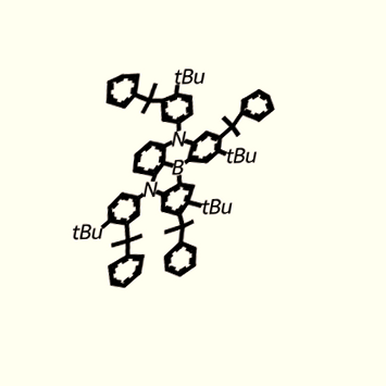 CC(C)(C)c1ccc(N2c3cc(C(C)(C)c4ccccc4)c(C(C)(C)C)cc3B3c4cc(C(C)(C)C)c(C(C)(C)c5ccccc5)cc4N(c4ccc(C(C)(C)C)c(C(C)(C)c5ccccc5)c4)c4cccc2c43)cc1C(C)(C)c1ccccc1